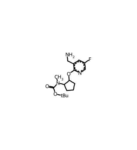 CN(C(=O)OC(C)(C)C)C1CCCC1Oc1ncc(F)cc1CN